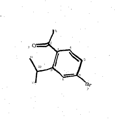 CC(=O)c1ccc(Br)cc1C(C)C